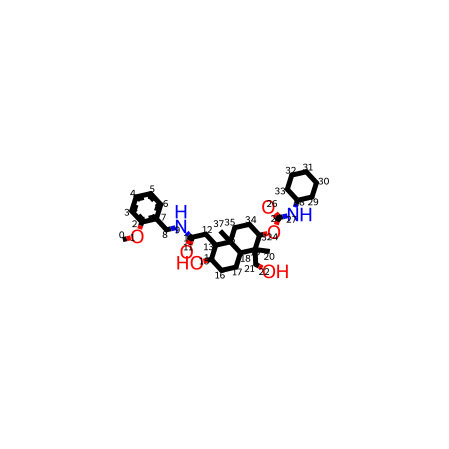 COc1ccccc1CNC(=O)CC1C(O)CCC2C(C)(CO)C(OC(=O)NC3CCCCC3)CCC12C